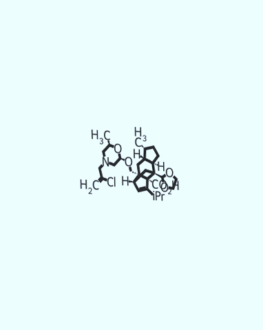 C=C(Cl)CN1C[C@H](OC[C@@]23C[C@@H]4[C@H](C)CC[C@H]4[C@@]4(C5OCCO5)C[C@@H]2C=C(C(C)C)[C@@]34C(=O)O)O[C@H](C)C1